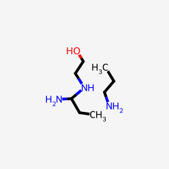 CCC(N)NCCO.CCCN